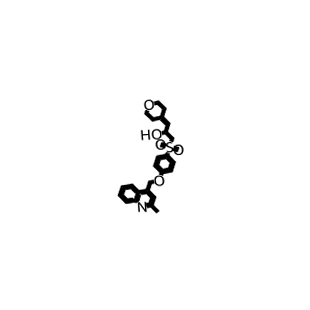 Cc1cc(COc2ccc(S(=O)(=O)CC(O)C=C3CCOCC3)cc2)c2ccccc2n1